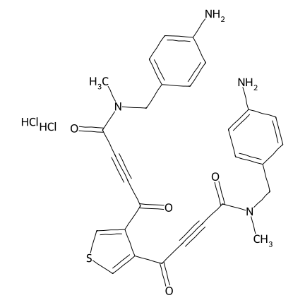 CN(Cc1ccc(N)cc1)C(=O)C#CC(=O)c1cscc1C(=O)C#CC(=O)N(C)Cc1ccc(N)cc1.Cl.Cl